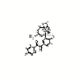 CC1(c2cc(NC(=O)c3ccc(F)cn3)ccc2F)N=C(N)CCC2(CCC2)C1(F)F